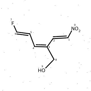 O=[N+]([O-])/C=C/C(=C\C=C\F)CO